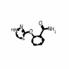 NC(=O)c1ccccc1Oc1nc[nH]n1